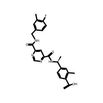 C=C(O)c1ccc([C@H](C)NC(=S)c2cc(C(=O)NCc3ccc(F)c(C)c3)ncn2)cc1C